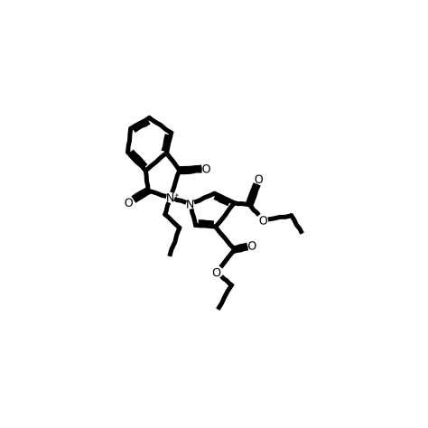 CCC[N+]1(n2cc(C(=O)OCC)c(C(=O)OCC)c2)C(=O)c2ccccc2C1=O